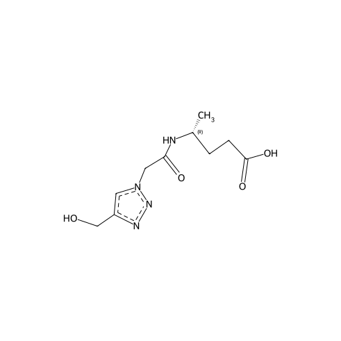 C[C@H](CCC(=O)O)NC(=O)Cn1cc(CO)nn1